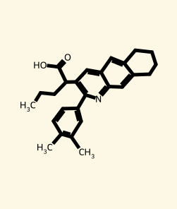 CCCC(C(=O)O)c1cc2cc3c(cc2nc1-c1ccc(C)c(C)c1)CCCC3